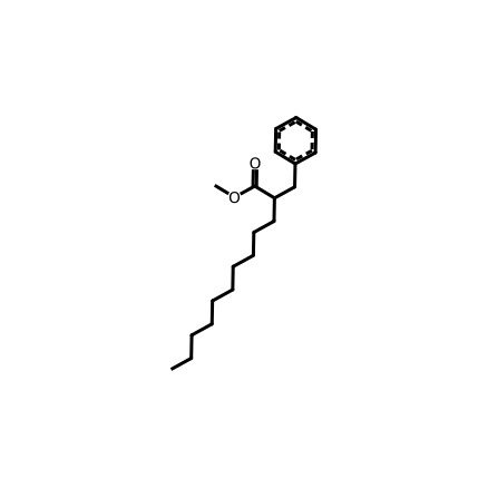 CCCCCCCCCCC(Cc1ccccc1)C(=O)OC